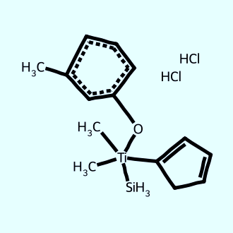 Cc1cccc([O][Ti]([CH3])([CH3])([SiH3])[C]2=CC=CC2)c1.Cl.Cl